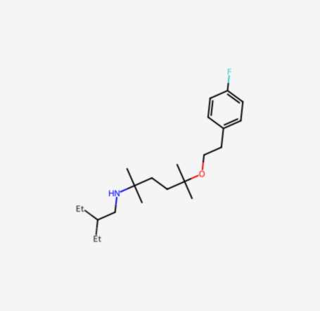 CCC(CC)CNC(C)(C)CCC(C)(C)OCCc1ccc(F)cc1